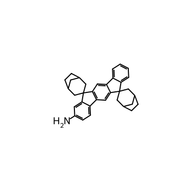 Nc1ccc2c(c1)C1(CC3CCC(C3)C1)c1cc3c(cc1-2)C1(CC2CCC(C2)C1)c1ccccc1-3